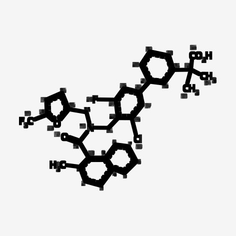 Cc1ccc2ccccc2c1C(=O)N(Cc1ccc(C(F)(F)F)o1)Cc1c(F)cc(-c2cccc(C(C)(C)C(=O)O)c2)cc1Cl